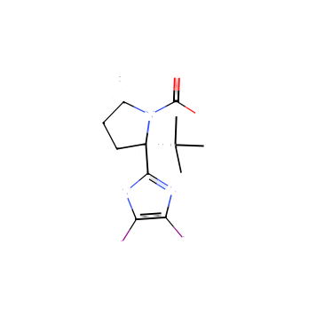 C[C@H]1CC[C@@](c2nc(I)c(I)[nH]2)(C(C)(C)C)N1C(=O)O